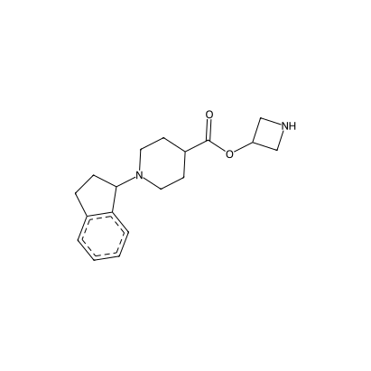 O=C(OC1CNC1)C1CCN(C2CCc3ccccc32)CC1